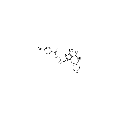 CCc1nn(C[C@@H](C)COC(=O)c2ccc(C(C)=O)cc2)c2c1C(=O)NCC1(CCOCC1)C2